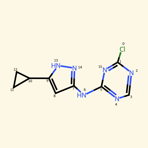 Clc1ncnc(Nc2cc(C3CC3)[nH]n2)n1